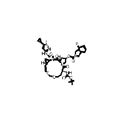 CN1C(=O)[C@@H]2C[C@@H](OC(=O)N3Cc4cccc(F)c4C3)CN2C(=O)[C@@H](NC(=O)OC(C)(C)C)CCCCC/C=C\[C@@H]2C[C@]21C(=O)Nc1cc(C2CC2)[nH]n1